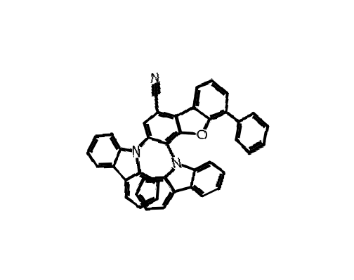 N#Cc1cc(-n2c3ccccc3c3ccccc32)c(-n2c3ccccc3c3ccccc32)c2oc3c(-c4ccccc4)cccc3c12